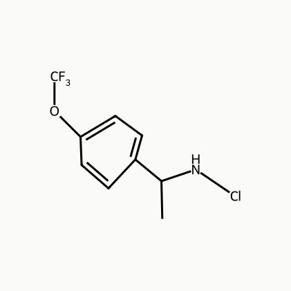 CC(NCl)c1ccc(OC(F)(F)F)cc1